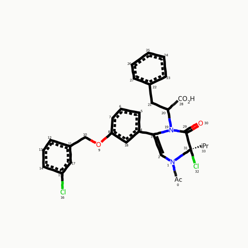 CC(=O)N1C=C(c2cccc(OCc3cccc(Cl)c3)c2)N(C(Cc2ccccc2)C(=O)O)C(=O)[C@]1(Cl)C(C)C